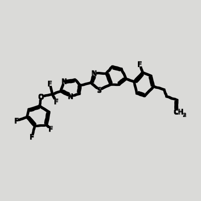 C=CCCc1ccc(-c2ccc3nc(-c4cnc(C(F)(F)Oc5cc(F)c(F)c(F)c5)nc4)sc3c2)c(F)c1